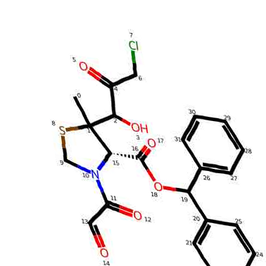 CC1(C(O)C(=O)CCl)SCN(C(=O)C=O)[C@H]1C(=O)OC(c1ccccc1)c1ccccc1